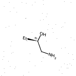 CC[C@@H](O)CN